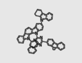 C1=Cc2c(n(-c3ccc4c(c3)c3ccc5c6ccccc6n(-c6ccccc6)c5c3n4-c3nc(-c4ccccc4)nc(-c4ccc5c(c4)oc4ccccc45)n3)c3ccccc23)CC1